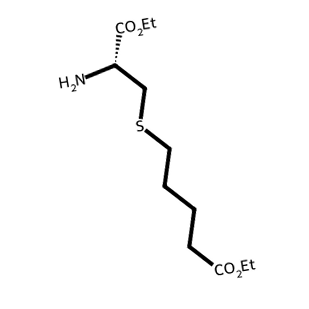 CCOC(=O)CCCCSC[C@H](N)C(=O)OCC